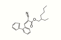 CCCCC(CC)COC(=O)C(C#N)=Cc1ccccc1-c1ccccc1